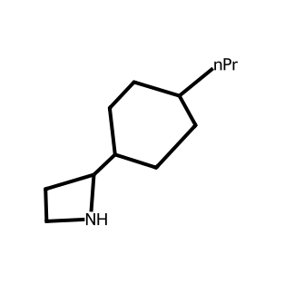 CCCC1CCC(C2CCN2)CC1